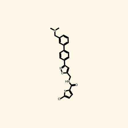 CN(C)Cc1cccc(-c2ccc(-c3cc(CNC(=O)c4ccc(Cl)s4)on3)cc2)c1